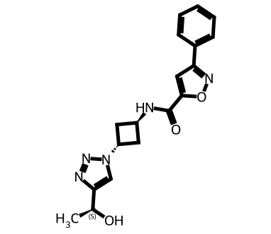 C[C@H](O)c1cn([C@H]2C[C@H](NC(=O)c3cc(-c4ccccc4)no3)C2)nn1